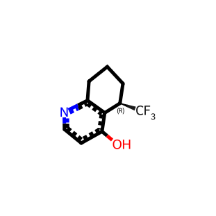 Oc1ccnc2c1[C@H](C(F)(F)F)CCC2